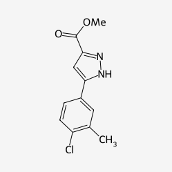 COC(=O)c1cc(-c2ccc(Cl)c(C)c2)[nH]n1